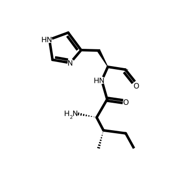 CC[C@H](C)[C@H](N)C(=O)N[C@H]([C]=O)Cc1c[nH]cn1